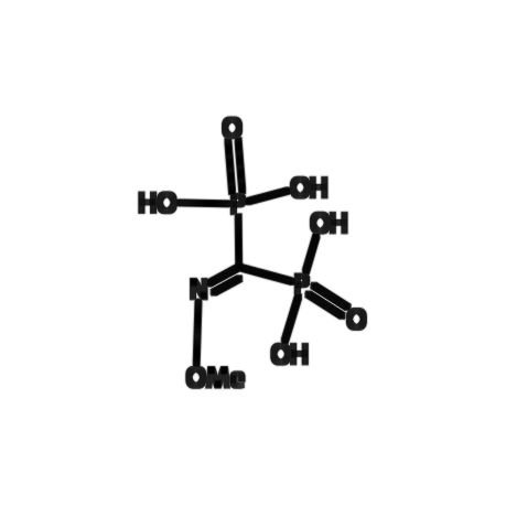 CON=C(P(=O)(O)O)P(=O)(O)O